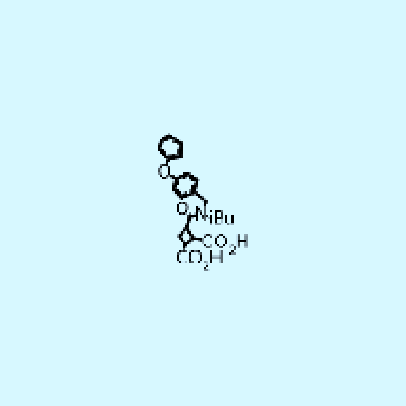 CC[C@H](C)N(Cc1ccc(Oc2ccccc2)cc1)C(=O)C1CC(C(=O)O)C1C(=O)O